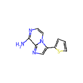 Nc1nccn2c(-c3cccs3)cnc12